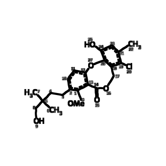 COc1c(CCC(C)(C)CO)ccc2c1C(=O)OCc1c(Cl)c(C)cc(O)c1O2